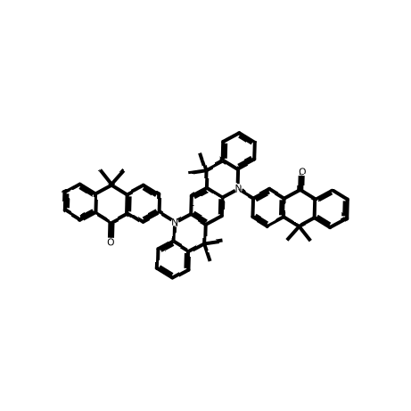 CC1(C)c2ccccc2C(=O)c2cc(N3c4ccccc4C(C)(C)c4cc5c(cc43)C(C)(C)c3ccccc3N5c3ccc4c(c3)C(=O)c3ccccc3C4(C)C)ccc21